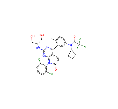 Cc1ccc(N(C(=O)C(F)(F)F)C2CCC2)cc1-c1nc(NC(CO)CO)nc2c1ccc(=O)n2-c1c(F)cccc1F